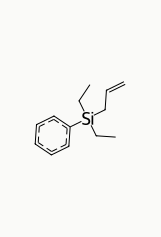 C=CC[Si](CC)(CC)c1ccccc1